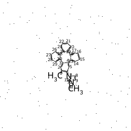 Cc1cc2c(cc1N1C=CN(C)C1)-c1ccccc1-c1ccccc1-c1ccccc1-2